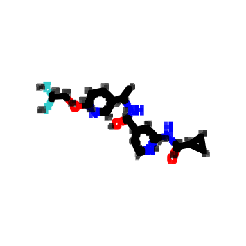 CC(NC(=O)c1ccnc(NC(=O)C2CC2)c1)c1ccc(OCC(F)F)nc1